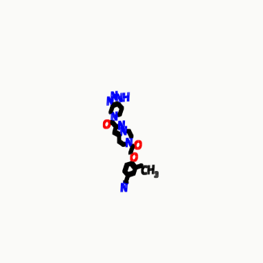 CCc1cc(C#N)ccc1OCC(=O)N1CCc2cc(C(=O)N3CCc4[nH]nnc4C3)nn2CC1